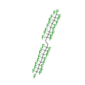 FC(F)(F)C(F)(F)C(F)(F)C(F)(F)C(F)(F)C(F)(F)C(F)(F)C(F)(F)CCC(F)(F)C(F)(F)C(F)(F)C(F)(F)C(F)(F)C(F)(F)C(F)(F)C(F)(F)F